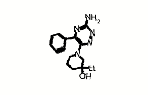 CCC1(O)CCCN(c2nnc(N)nc2-c2ccccc2)C1